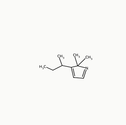 CCC(C)C1=CC=NC1(C)C